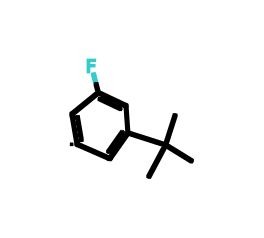 CC(C)(C)c1c[c]cc(F)c1